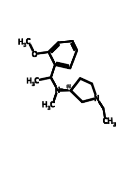 CCN1CC[C@H](N(C)C(C)c2ccccc2OC)C1